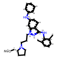 COC[C@H]1CCCN1CCCn1nc(Nc2c(C)cccc2C)c2ccc(Nc3ccccc3)cc21